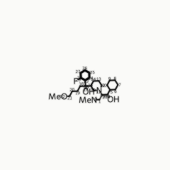 CNC[C@H]([C@@H](O)C1CCCCC1)N1CCCC([C@@](O)(CCCCOC)c2ccccc2F)C1